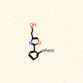 CCCCCc1ccccc1-c1nc(CCO)co1